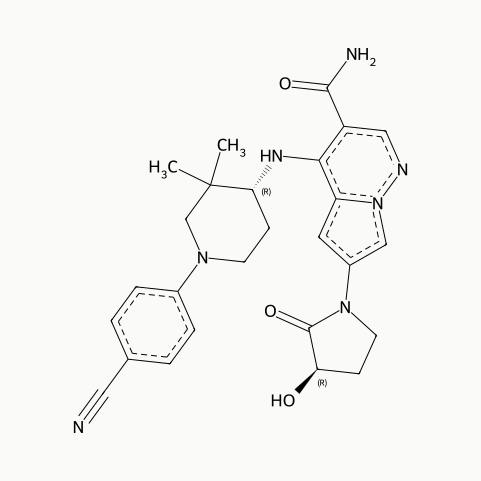 CC1(C)CN(c2ccc(C#N)cc2)CC[C@H]1Nc1c(C(N)=O)cnn2cc(N3CC[C@@H](O)C3=O)cc12